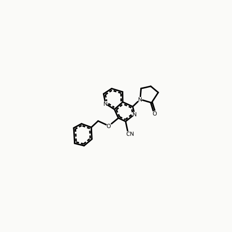 N#Cc1nc(N2CCCC2=O)c2cccnc2c1OCc1ccccc1